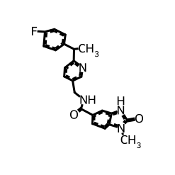 CC(c1ccc(F)cc1)c1ccc(CNC(=O)c2ccc3c(c2)[nH]c(=O)n3C)cn1